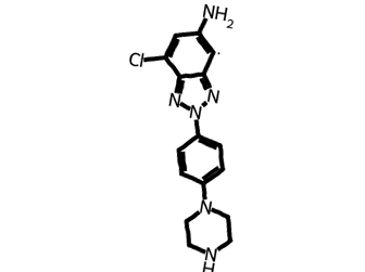 Nc1[c]c2nn(-c3ccc(N4CCNCC4)cc3)nc2c(Cl)c1